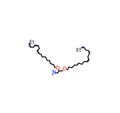 CC/C=C\C/C=C\C/C=C\CCCCCCCCOCC(CN(C)C)OCCCCCCCC/C=C\C/C=C\C/C=C\CC